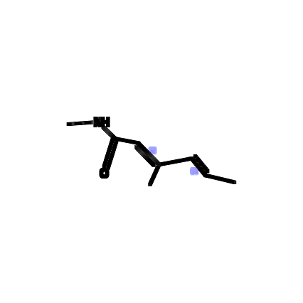 C/C=C/C(C)=C/C(=O)NC